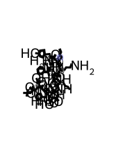 C=C/C=C/[C@@H](CN[C@H](CCCCN)C(=O)N[C@@H](Cc1c[nH]c2ccccc12)C(=O)N[C@@H](CCCC)C(=O)N[C@@H](CC(=O)OS(=O)(=O)O)C(=O)N[C@@H](Cc1ccccc1)C(=O)NC(=O)[C@@H](CC(=O)O)NC(=O)OC(C)(C)C)NC(=O)[C@@H](N)Cc1ccc(O)cc1